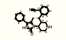 Cc1c(-c2ccccc2)[nH]c(=O)n1C1CCNCC1Cc1ccccc1C#N